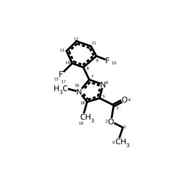 CCOC(=O)c1nc(-c2c(F)cccc2F)n(C)c1C